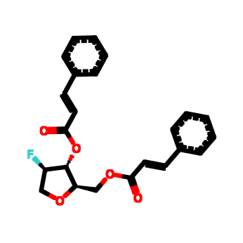 O=C(/C=C/c1ccccc1)OC[C@H]1OC[C@@H](F)[C@@H]1OC(=O)/C=C/c1ccccc1